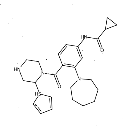 O=C(Nc1ccc(C(=O)N2CCNCC2[SH]2C=CC=C2)c(N2CCCCCC2)c1)C1CC1